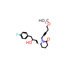 O=C(O)OCCC#CCN1C(=O)CCC[C@@H]1/C=C/C(O)Cc1ccc(F)cc1